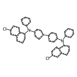 Clc1ccc2c(N(c3ccccc3)c3ccc(-c4ccc(N(c5ccccc5)c5cccc6cc(Cl)ccc56)cc4)cc3)cccc2c1